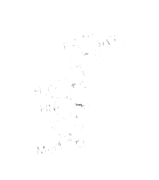 COc1cc2[nH]c(C)c(-c3ccc(-c4cc(C(F)(F)F)ccc4F)cc3)c(=O)c2cc1Cl